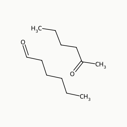 CCCCC(C)=O.CCCCCC=O